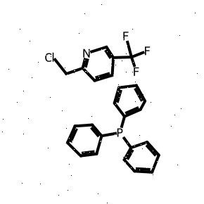 FC(F)(F)c1ccc(CCl)nc1.c1ccc(P(c2ccccc2)c2ccccc2)cc1